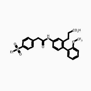 CCS(=O)(=O)c1ccc(CC(=O)Nc2ccc(-c3ccccc3OC(F)(F)F)c(CCC(=O)O)c2)cc1